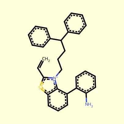 C=Cc1sc2cccc(-c3ccccc3N)c2[n+]1CCCC(c1ccccc1)c1ccccc1